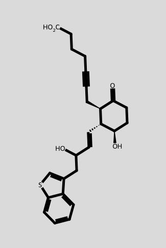 O=C(O)CCCC#CC[C@H]1C(=O)CC[C@@H](O)[C@@H]1C=CC(O)Cc1csc2ccccc12